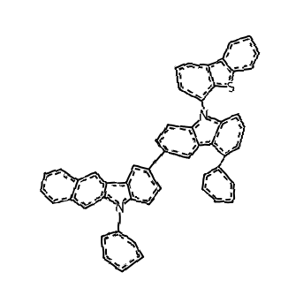 c1ccc(-c2cccc3c2c2cc(-c4ccc5c(c4)c4cc6ccccc6cc4n5-c4ccccc4)ccc2n3-c2cccc3c2sc2ccccc23)cc1